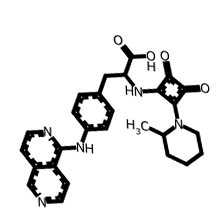 CC1CCCCN1c1c(NC(Cc2ccc(Nc3nccc4cnccc34)cc2)C(=O)O)c(=O)c1=O